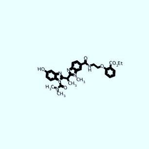 CCOC(=O)c1ccccc1OCCNC(=O)c1ccc2nc(C(C)c3nc4cc(O)ccc4n3C(=O)N(C)C)n(C)c2c1